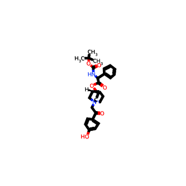 CC(C)(C)OC(=O)NC(C(=O)O[C@H]1C[N+]2(CC(=O)c3ccc(O)cc3)CCC1CC2)c1ccccc1